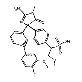 COCC(c1ccc(C2(c3cccc(-c4ccc(F)c(OC)c4)c3)N=C(N)N(C)C2=O)cc1)S(=O)(=O)O